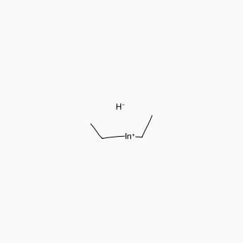 C[CH2][In+][CH2]C.[H-]